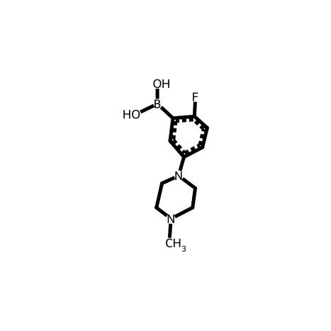 CN1CCN(c2ccc(F)c(B(O)O)c2)CC1